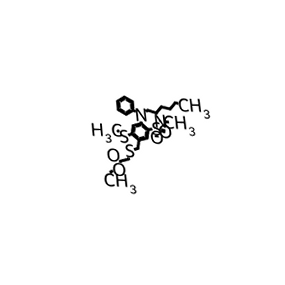 CCCCC1CN(c2ccccc2)c2cc(SC)c(CSCC(=O)OCC)cc2S(=O)(=O)N1C